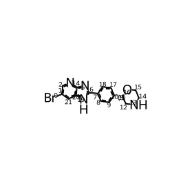 Brc1cnc2nc(-c3ccc([C@H]4CNCCO4)cc3)[nH]c2c1